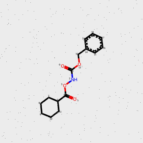 O=C(NOC(=O)C1CCCCC1)OCc1ccccc1